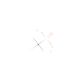 CCC(F)(C(=O)O)P(=O)(CC)CC